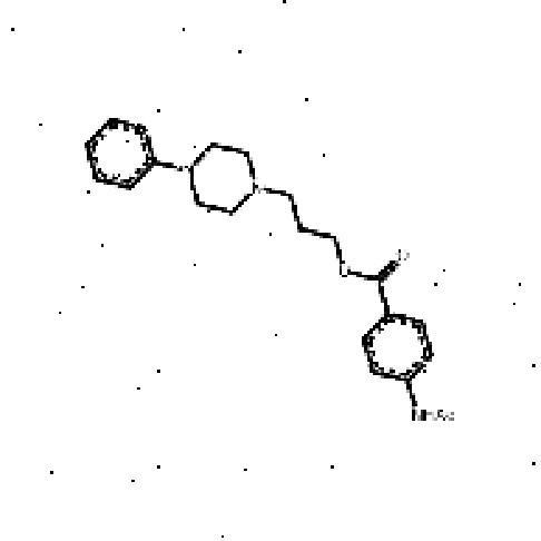 CC(=O)Nc1ccc(C(=O)OCCCN2CCN(c3ccccc3)CC2)cc1